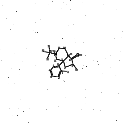 Cc1ccccc1C12CC(C)C(=O)N1CCN(C(C)(C)C)C2